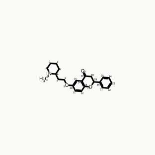 CN1CCCCC1CCOc1ccc2c(c1)C(=O)CC(c1ccccc1)O2